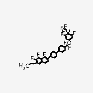 CCCc1cc2ccc(-c3ccc(-c4ccc(C(F)(F)Oc5cc(F)c(OC(F)(F)F)c(F)c5)cc4)cc3)c(F)c2c(F)c1F